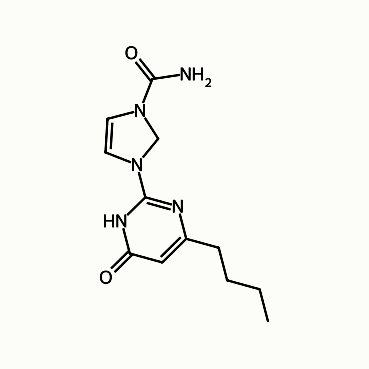 CCCCc1cc(=O)[nH]c(N2C=CN(C(N)=O)C2)n1